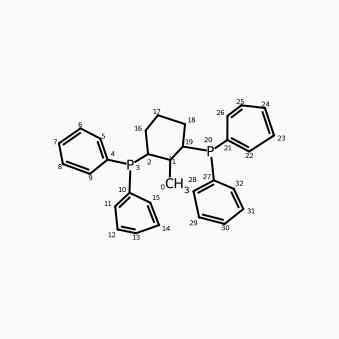 C[C]1C(P(c2ccccc2)c2ccccc2)CCCC1P(c1ccccc1)c1ccccc1